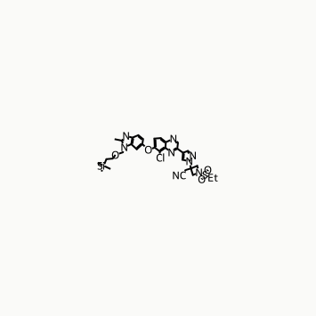 CCS(=O)(=O)N1CC(CC#N)(n2cc(-c3cnc4ccc(Oc5ccc6nc(C)n(COCC[Si](C)(C)C)c6c5)c(Cl)c4n3)cn2)C1